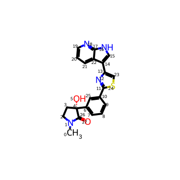 CN1CC[C@@](O)(c2cccc(-c3nc(-c4c[nH]c5ncccc45)cs3)c2)C1=O